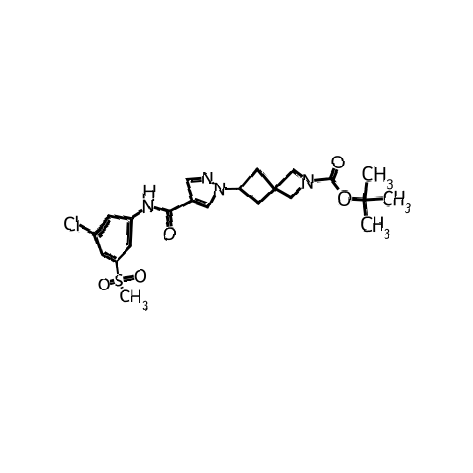 CC(C)(C)OC(=O)N1CC2(CC(n3cc(C(=O)Nc4cc(Cl)cc(S(C)(=O)=O)c4)cn3)C2)C1